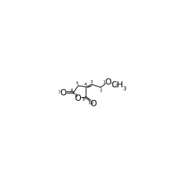 COCC=C1CC(=O)OC1=O